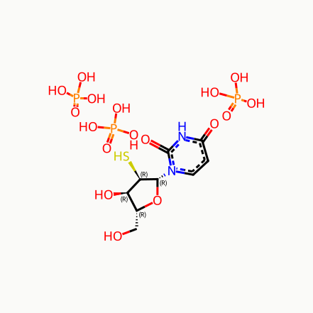 O=P(O)(O)O.O=P(O)(O)O.O=P(O)(O)O.O=c1ccn([C@@H]2O[C@H](CO)[C@@H](O)[C@H]2S)c(=O)[nH]1